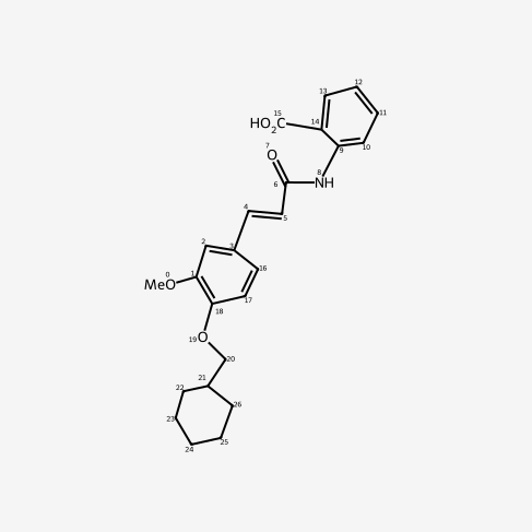 COc1cc(C=CC(=O)Nc2ccccc2C(=O)O)ccc1OCC1CCCCC1